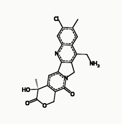 Cc1cc2c(CN)c3c(nc2cc1Cl)-c1cc2c(c(=O)n1C3)COC(=O)[C@@]2(C)O